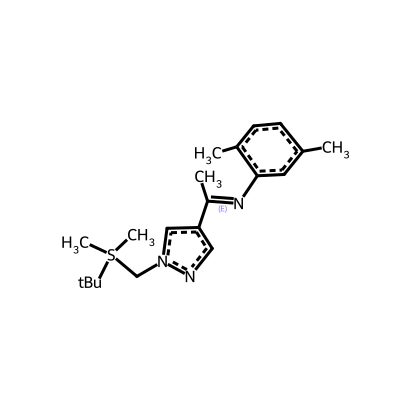 C/C(=N\c1cc(C)ccc1C)c1cnn(CS(C)(C)C(C)(C)C)c1